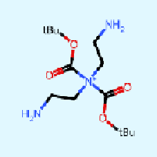 CC(C)(C)OC(=O)[N+](CCN)(CCN)C(=O)OC(C)(C)C